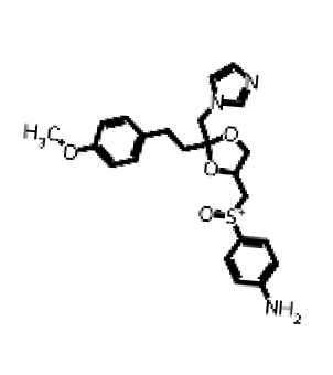 COc1ccc(CCC2(Cn3ccnc3)OCC(C[S+]([O-])c3ccc(N)cc3)O2)cc1